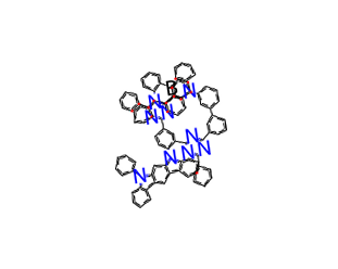 c1ccc(-c2cc(-c3ccccc3)nc(-c3ccc(-n4c5ccccc5c5cc6c7ccccc7n(-c7ccccc7)c6cc54)c(-c4nc(-c5ccccc5)nc(-c5cccc(-c6cccc(N7c8ccccc8B8c9ccccc9N(c9ccccc9)c9cccc7c98)c6)c5)n4)c3)n2)cc1